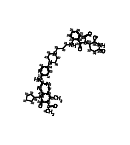 CC(=O)c1c(C)c2cnc(Nc3ccc(N4CCN(CCCNc5cccc6c5C(=O)N(C5CCC(=O)NC5=O)C6=O)CC4)cn3)nc2n(C2CCCC2)c1=O